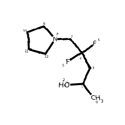 CC(O)CC(F)(F)CN1CCCC1